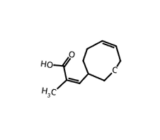 CC(=CC1CCC=CCCC1)C(=O)O